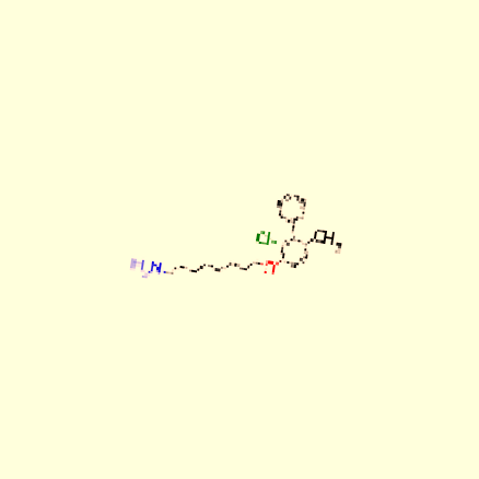 Cc1ccc(OCCCCCCCCN)c(Cl)c1-c1ccccc1